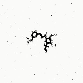 C=CC(C)(C)c1cc(C(=O)/C=C/c2cccc(CN(C)C)c2)c(OC)cc1O